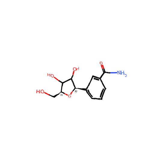 NC(=O)c1cccc([C@H]2O[C@@H](CO)C(O)C2O)c1